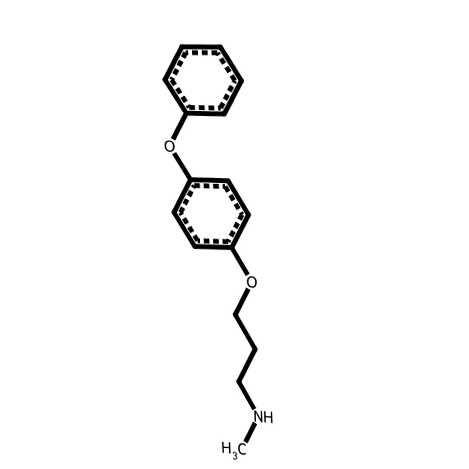 CNCCCOc1ccc(Oc2ccccc2)cc1